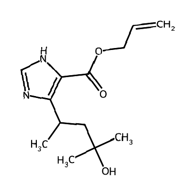 C=CCOC(=O)c1[nH]cnc1C(C)CC(C)(C)O